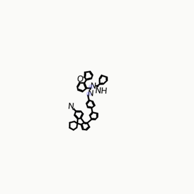 N#Cc1ccc2c(c1)C1(CCCCC1)c1cccc(-c3cccc(-c4ccc(/C=N/C(=N\C(=N)c5ccccc5)c5cccc6oc7ccccc7c56)cc4)c3)c1-2